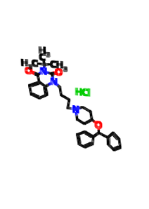 CC(C)(C)n1c(=O)c2ccccc2n(CCCCN2CCC(OC(c3ccccc3)c3ccccc3)CC2)c1=O.Cl